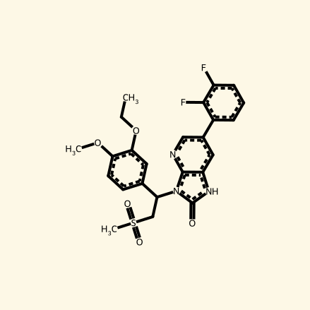 CCOc1cc(C(CS(C)(=O)=O)n2c(=O)[nH]c3cc(-c4cccc(F)c4F)cnc32)ccc1OC